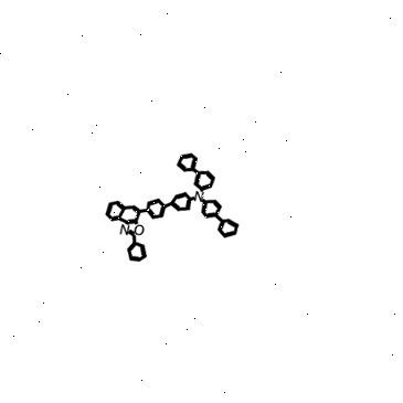 c1ccc(-c2ccc(N(c3ccc(-c4ccc(-c5cc6ccccc6c6nc(-c7ccccc7)oc56)cc4)cc3)c3cccc(-c4ccccc4)c3)cc2)cc1